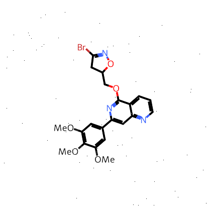 COc1cc(-c2cc3ncccc3c(OCC3CC(Br)=NO3)n2)cc(OC)c1OC